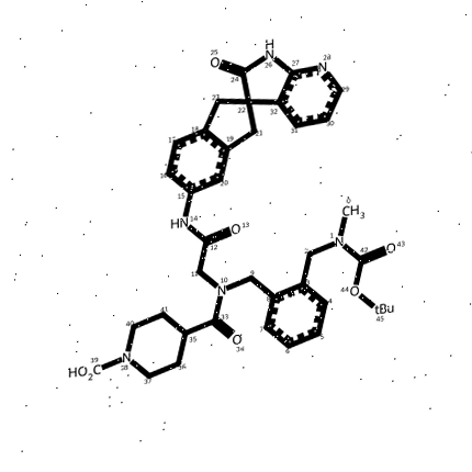 CN(Cc1ccccc1CN(CC(=O)Nc1ccc2c(c1)CC1(C2)C(=O)Nc2ncccc21)C(=O)C1CCN(C(=O)O)CC1)C(=O)OC(C)(C)C